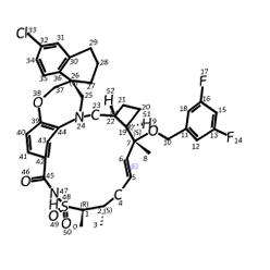 C[C@@H]1[C@@H](C)C/C=C/[C@@](C)(OCc2cc(F)cc(F)c2)[C@@H]2CC[C@H]2CN2C[C@@]3(CCCc4cc(Cl)ccc43)COc3ccc(cc32)C(=O)NS1(=O)=O